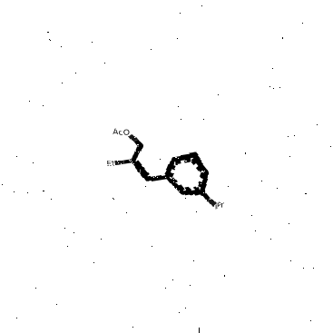 CCC(=Cc1cccc(C(C)C)c1)COC(C)=O